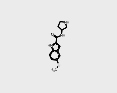 COc1ccc2[nH]c(C(=O)NC3CCNC3)cc2c1